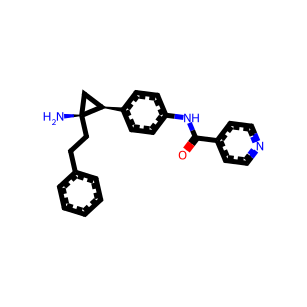 N[C@@]1(CCc2ccccc2)C[C@H]1c1ccc(NC(=O)c2ccncc2)cc1